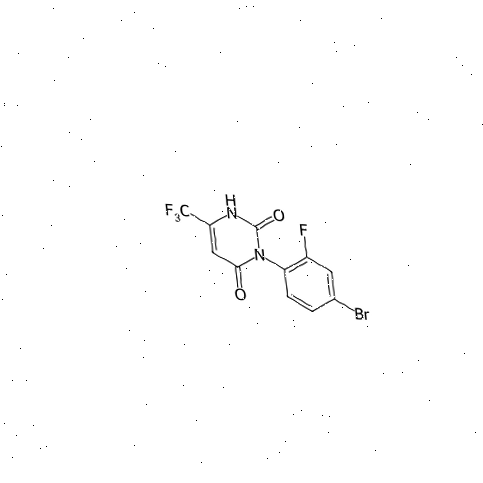 O=c1cc(C(F)(F)F)[nH]c(=O)n1-c1ccc(Br)cc1F